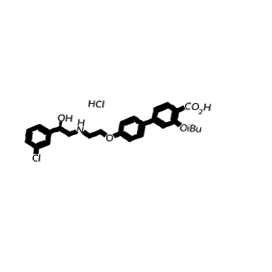 CC(C)COc1cc(-c2ccc(OCCNC[C@H](O)c3cccc(Cl)c3)cc2)ccc1C(=O)O.Cl